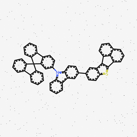 c1ccc2c(c1)-c1ccccc1C21c2ccccc2-c2ccc(-n3c4ccccc4c4cc(-c5ccc6sc7c(c6c5)-c5cccc6cccc-7c56)ccc43)cc21